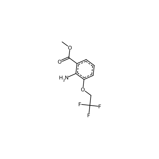 COC(=O)c1cccc(OCC(F)(F)F)c1N